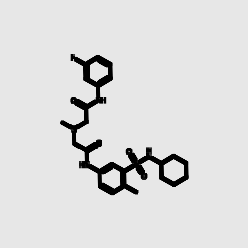 Cc1ccc(NC(=O)CN(C)CC(=O)Nc2cccc(F)c2)cc1S(=O)(=O)NC1CCCCC1